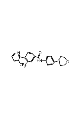 O=C(Nc1ccc(N2CCOCC2)cc1)c1ccc(-c2ncccc2C(F)(F)F)c(F)c1